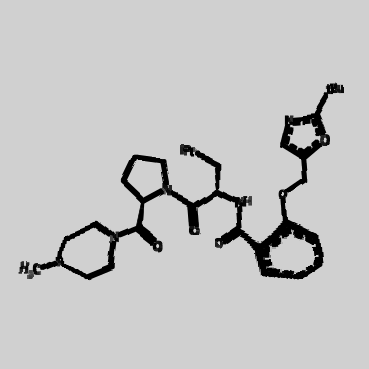 CC(C)C[C@@H](NC(=O)c1ccccc1OCc1cnc(C(C)(C)C)o1)C(=O)N1CCC[C@@H]1C(=O)N1CCN(C)CC1